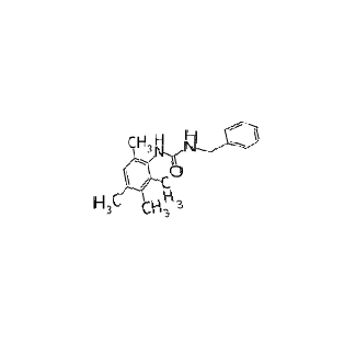 Cc1cc(C)c(NC(=O)NCc2ccccc2)c(C)c1C